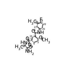 COc1ccc(S(=O)(=O)N[C@H](C)C(N)=O)cc1C(=O)Nc1ccc(F)c(C)c1